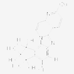 [2H]c1c2c(c3c(nc4c5ccc(C(C)(C)C)nc5ccn43)c1[2H])C(C)(C)C(C)(C)C2(C)C